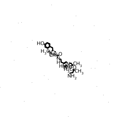 CN(C)[C@H](CNC(=O)NCCC1=CN(CC(C)(C)OC(C)(C)CCN)NN1)Cc1ccc(O)cc1